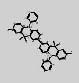 Cc1ccc2c(c1)C(C)(C)c1cc(-c3ccc4c(c3)C(C)(C)c3cc(C)ccc3N4c3ccccc3)ccc1N2c1ccccc1